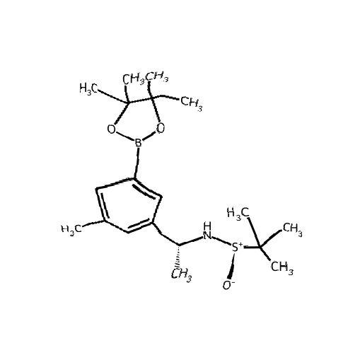 Cc1cc(B2OC(C)(C)C(C)(C)O2)cc([C@@H](C)N[S@+]([O-])C(C)(C)C)c1